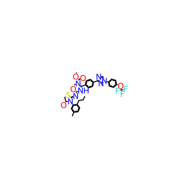 CCCc1ccc(C)cc1N1C(=O)CS/C1=N\C(=O)NC(c1ccc(-c2ncn(-c3ccc(OC(F)(F)F)cc3)n2)cc1)N(C)C(=O)OC